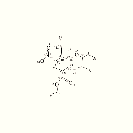 CCOC(=O)[C@@H]1C[C@H]([N+](=O)[O-])[C@@H](C(C)(C)C)[C@H](OC(CC)CC)[C@@H]1C